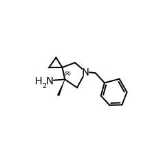 C[C@]1(N)CN(Cc2ccccc2)CC12CC2